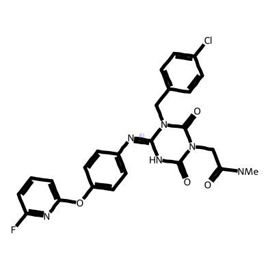 CNC(=O)Cn1c(=O)[nH]/c(=N\c2ccc(Oc3cccc(F)n3)cc2)n(Cc2ccc(Cl)cc2)c1=O